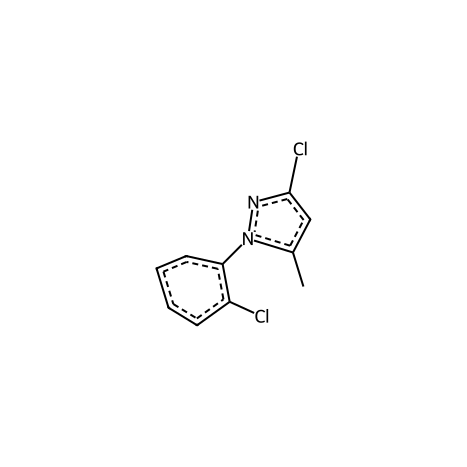 Cc1cc(Cl)nn1-c1ccccc1Cl